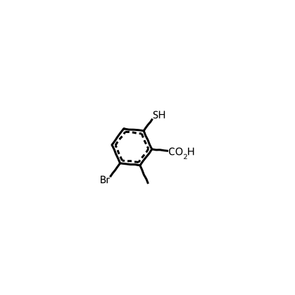 Cc1c(Br)ccc(S)c1C(=O)O